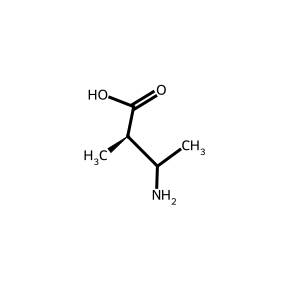 CC(N)[C@@H](C)C(=O)O